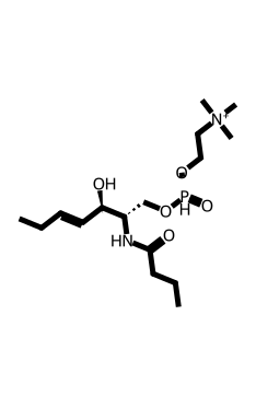 CC/C=C/[C@@H](O)[C@H](CO[PH](=O)OCC[N+](C)(C)C)NC(=O)CCC